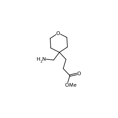 COC(=O)CCC1(CN)CCOCC1